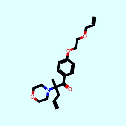 C=CCOCCOc1ccc(C(=O)C(C)(CC=C)N2CCOCC2)cc1